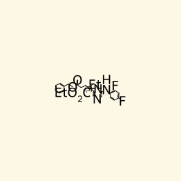 CCOC(=O)[C@@](CC)(CCC(=O)OCc1ccccc1)c1cncc(Nc2ccc(F)cc2F)n1